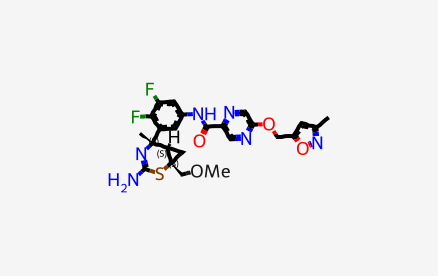 COC[C@]12C[C@H]1[C@@](C)(c1cc(NC(=O)c3cnc(OCc4cc(C)no4)cn3)cc(F)c1F)N=C(N)S2